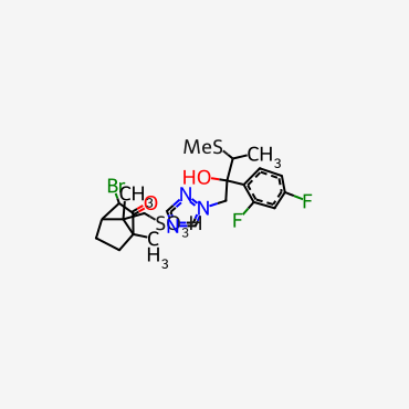 CC12CCC(C(Br)C1=O)C2(C)CS(=O)(=O)O.CSC(C)C(O)(Cn1cncn1)c1ccc(F)cc1F